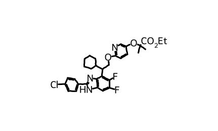 CCOC(=O)C(C)(C)Oc1ccc(OCC(c2c(F)c(F)cc3[nH]c(-c4ccc(Cl)cc4)nc23)C2CCCCC2)nc1